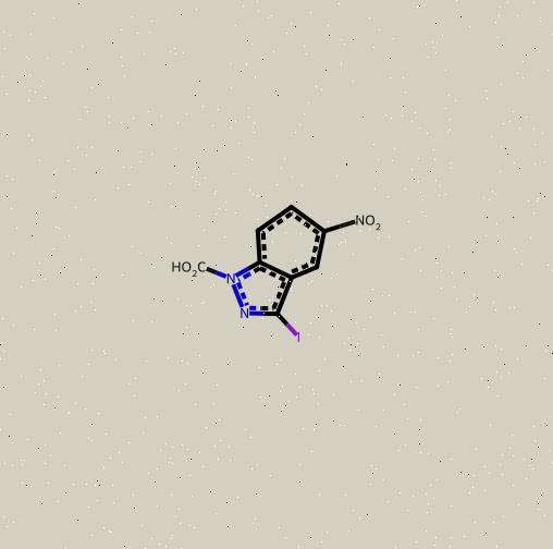 O=C(O)n1nc(I)c2cc([N+](=O)[O-])ccc21